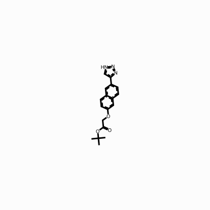 CC(C)(C)OC(=O)COc1ccc2cc(-c3c[nH]nn3)ccc2c1